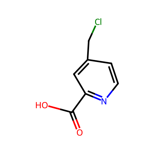 O=C(O)c1cc(CCl)ccn1